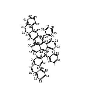 c1ccc(N(c2ccc3ccc4ccccc4c3c2)c2c3ccccc3c(N(c3ccccc3)c3ccc4ccc5ccccc5c4c3)c3ccccc23)cc1